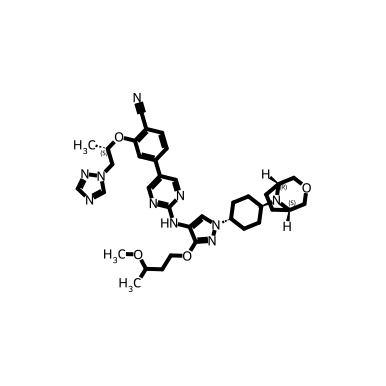 COC(C)CCOc1nn([C@H]2CC[C@H](N3[C@@H]4CC[C@H]3COC4)CC2)cc1Nc1ncc(-c2ccc(C#N)c(O[C@@H](C)Cn3cncn3)c2)cn1